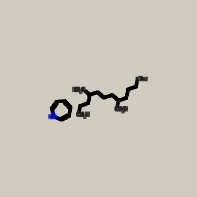 C1=CC=CNC=C1.CCCCCCCCCCCCCC(CCCC(CCC(=O)O)C(=O)O)C(=O)O